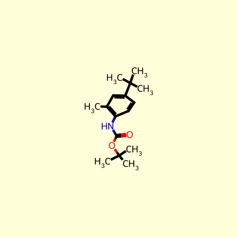 Cc1cc(C(C)(C)C)ccc1NC(=O)OC(C)(C)C